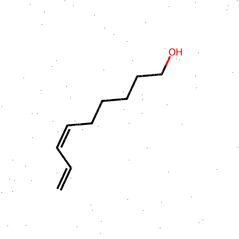 C=C/C=C\CCCCCO